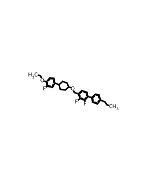 CCCc1ccc(-c2ccc(COC3CCC(c4ccc(OCC)c(F)c4)CC3)c(F)c2F)cc1